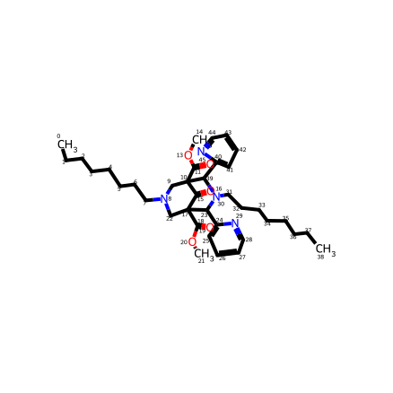 CCCCCCCCN1CC2(C(=O)OC)C(=O)C(C(=O)OC)(C1)C(c1ccccn1)N(CCCCCCCC)C2c1ccccn1